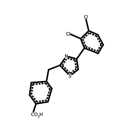 O=C(O)c1ccc(Cc2nc(-c3cccc(Cl)c3Cl)cs2)cc1